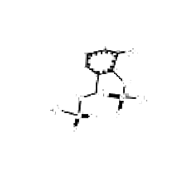 CS(=O)(=O)OCc1cccc([N+](=O)[O-])c1OS(C)(=O)=O